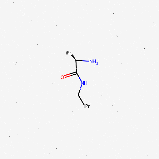 CC(C)[CH]NC(=O)[C@H](N)C(C)C